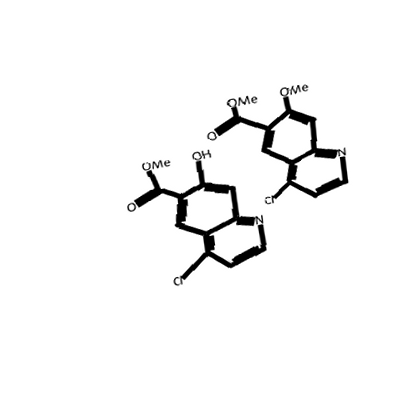 COC(=O)c1cc2c(Cl)ccnc2cc1O.COC(=O)c1cc2c(Cl)ccnc2cc1OC